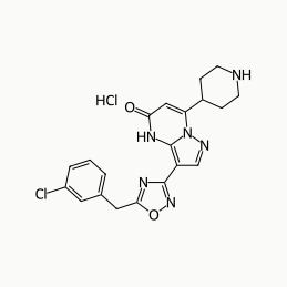 Cl.O=c1cc(C2CCNCC2)n2ncc(-c3noc(Cc4cccc(Cl)c4)n3)c2[nH]1